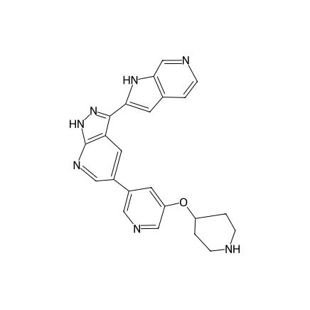 c1cc2cc(-c3n[nH]c4ncc(-c5cncc(OC6CCNCC6)c5)cc34)[nH]c2cn1